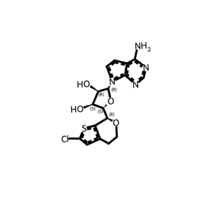 Nc1ncnc2c1ccn2[C@@H]1O[C@H]([C@H]2OCCc3cc(Cl)sc32)[C@@H](O)[C@H]1O